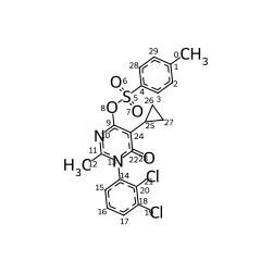 Cc1ccc(S(=O)(=O)Oc2nc(C)n(-c3cccc(Cl)c3Cl)c(=O)c2C2CC2)cc1